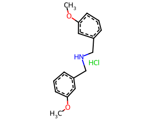 COc1cccc(CNCc2cccc(OC)c2)c1.Cl